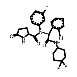 O=C1CCC(C(=O)N(c2cccc(F)c2)[C@H](C(=O)NC2CCC(F)(F)CC2)c2ccccc2Cl)N1